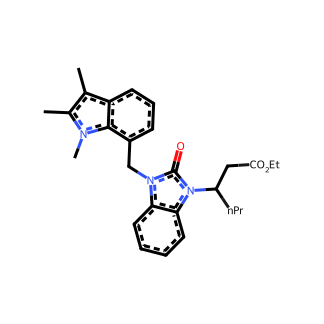 CCCC(CC(=O)OCC)n1c(=O)n(Cc2cccc3c(C)c(C)n(C)c23)c2ccccc21